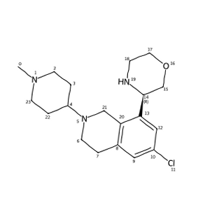 CN1CCC(N2CCc3cc(Cl)cc([C@@H]4COCCN4)c3C2)CC1